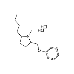 CCCCC1CCC(COc2cccnc2)N1C.Cl.Cl